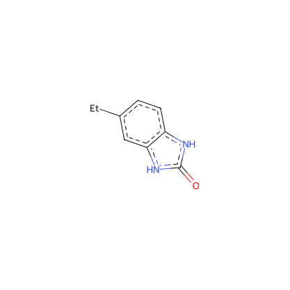 CCc1ccc2[nH]c(=O)[nH]c2c1